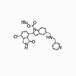 CC(C)(C)OC(=O)n1c(-c2ccc(Cl)c3c2C(=O)NC3)cc2cc(CNCc3cccnc3)ccc21